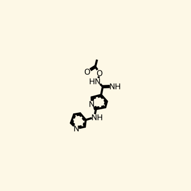 CC(=O)ONC(=N)c1ccc(Nc2cccnc2)nc1